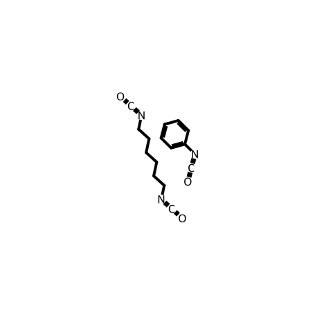 O=C=NCCCCCCN=C=O.O=C=Nc1ccccc1